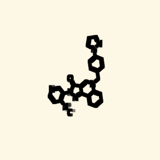 [C-]#[N+]c1ccncc1-n1nc2c3ccccc3n(Cc3ccc(-n4cccn4)cc3)cc-2c1=O